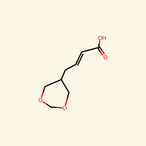 O=C(O)C=CCC1COCOC1